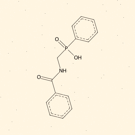 O=C(NCP(=O)(O)c1ccccc1)c1ccccc1